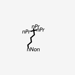 CCCCCCCCCCCCCC(CCC)(CCC)CCC